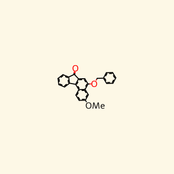 COc1ccc2c3c(cc(OCc4ccccc4)c2c1)C(=O)c1ccccc1-3